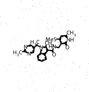 CSc1cc(C)[nH]c(=O)c1CNC(=O)c1c(C)n(C(C)c2cnc(C)nc2)c2ccccc12